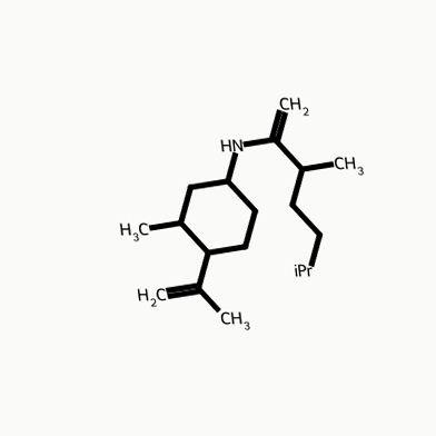 C=C(NC1CCC(C(=C)C)C(C)C1)C(C)CCC(C)C